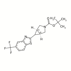 CC(C)(C)OC(=O)N1C[C@@H]2C(c3nc4cc(C(F)(F)F)ccc4s3)[C@@H]2C1